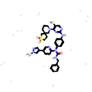 Cn1cc(-c2ccc(N(C(=O)NCc3ccccc3)c3ccc(Nc4ncc(C#N)c(N5CCCC6(CCS(=O)(=O)C6)C5)n4)cc3)nc2)cn1